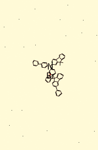 CC1(C)c2ccccc2-c2ccc(N(c3ccc(-c4ccccc4)cc3)c3ccc(C4(c5ccccc5Br)c5ccccc5-c5cc(-c6ccccc6)ccc54)cc3)cc21